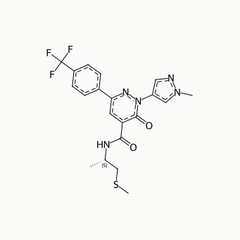 CSC[C@H](C)NC(=O)c1cc(-c2ccc(C(F)(F)F)cc2)nn(-c2cnn(C)c2)c1=O